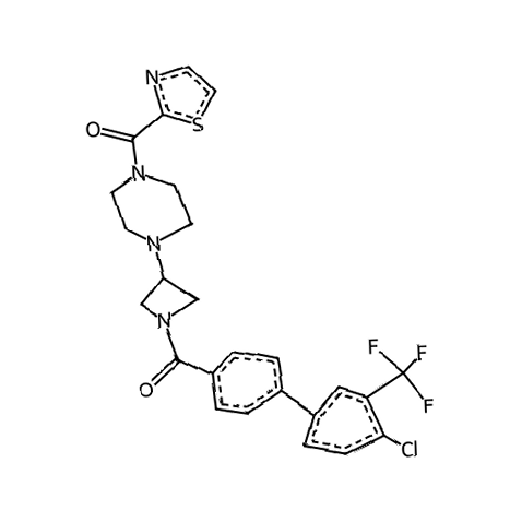 O=C(c1ccc(-c2ccc(Cl)c(C(F)(F)F)c2)cc1)N1CC(N2CCN(C(=O)c3nccs3)CC2)C1